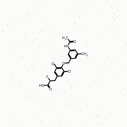 CC(=O)Nc1cc(C)cc(COc2c(Cl)cc(CC(F)C(=O)O)cc2Cl)c1